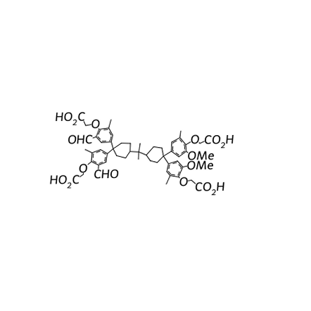 COc1cc(C2(c3cc(C)c(OCC(=O)O)c(OC)c3)CCC(C(C)(C)C3CCC(c4cc(C)c(OCC(=O)O)c(C=O)c4)(c4cc(C)c(OCC(=O)O)c(C=O)c4)CC3)CC2)cc(C)c1OCC(=O)O